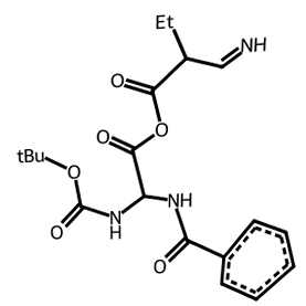 CCC(C=N)C(=O)OC(=O)C(NC(=O)OC(C)(C)C)NC(=O)c1ccccc1